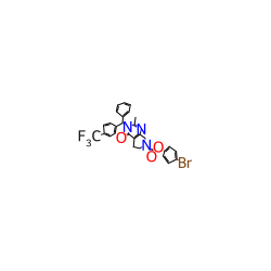 Cc1nc2c(c(=O)n1C(c1ccccc1)c1ccc(C(F)(F)F)cc1)CCN(C(=O)Oc1ccc(Br)cc1)C2